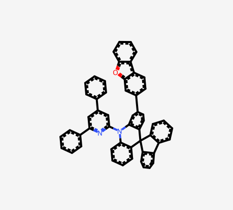 c1ccc(-c2cc(-c3ccccc3)nc(N3c4ccccc4C4(c5ccccc5-c5ccccc54)c4ccc(-c5ccc6c(c5)oc5ccccc56)cc43)c2)cc1